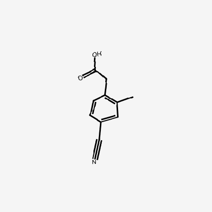 Cc1cc(C#N)ccc1CC(=O)O